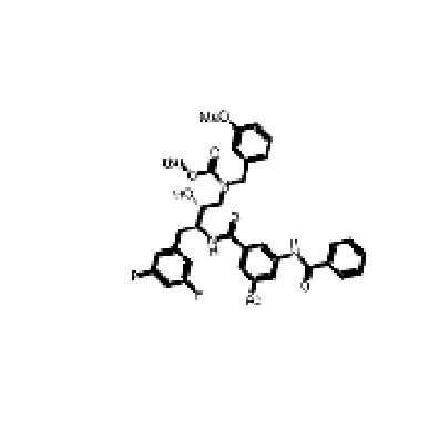 COc1cccc(CN(C[C@@H](O)[C@H](Cc2cc(F)cc(F)c2)NC(=O)c2cc(NC(=O)c3ccccc3)cc(C(C)=O)c2)C(=O)OC(C)(C)C)c1